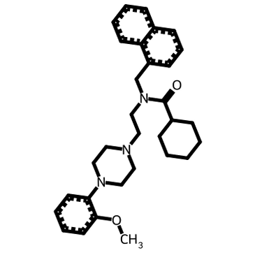 COc1ccccc1N1CCN(CCN(Cc2cccc3ccccc23)C(=O)C2CCCCC2)CC1